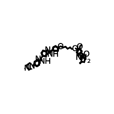 C=C1CCN(C(=O)c2cc(OC)c(OCCCCCOc3ccc(-c4nc5ccc(-c6nc7cc(N8CCN(C)CC8)ccc7[nH]6)cc5[nH]4)cc3)cc2N)C1